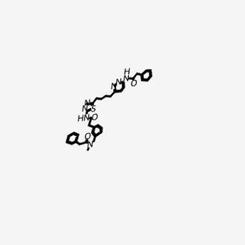 CN(Cc1cccc(CC(=O)Nc2nnc(CCCCc3ccc(NC(=O)Cc4ccccc4)nn3)s2)c1)C(=O)Cc1ccccc1